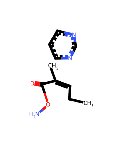 CCC=C(C)C(=O)ON.c1cncnc1